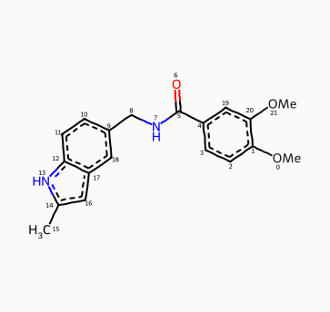 COc1ccc(C(=O)NCc2ccc3[nH]c(C)cc3c2)cc1OC